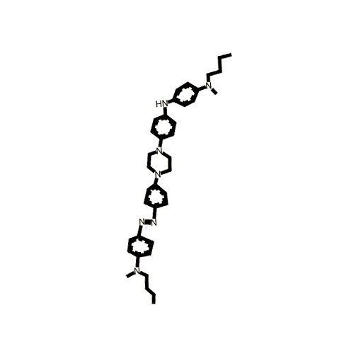 CCCCN(C)c1ccc(/N=N/c2ccc(N3CCN(c4ccc(Nc5ccc(N(C)CCCC)cc5)cc4)CC3)cc2)cc1